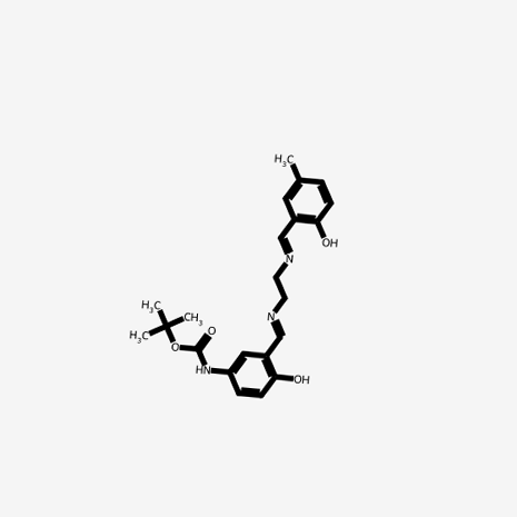 Cc1ccc(O)c(/C=N/CC/N=C/c2cc(NC(=O)OC(C)(C)C)ccc2O)c1